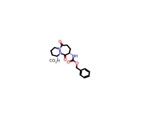 O=C(N[C@H]1CCC(=O)N2CCC[C@@H](C(=O)O)N2C1=O)OCc1ccccc1